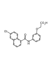 CCc1ccc2c(C(=O)Nc3cccc(OCC(=O)O)c3)cccc2c1